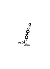 COC[C@@H](COc1ccc(C(C)(C)c2ccc(OC[C@@H](C)CCl)cc2)cc1)OC(C)=O